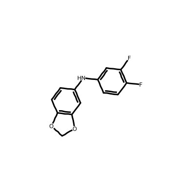 Fc1ccc(Nc2ccc3c(c2)OCO3)cc1F